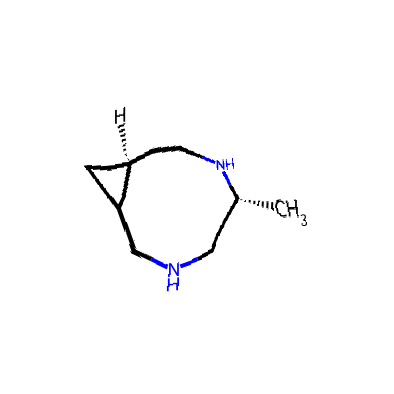 C[C@@H]1CNCC2C[C@H]2CN1